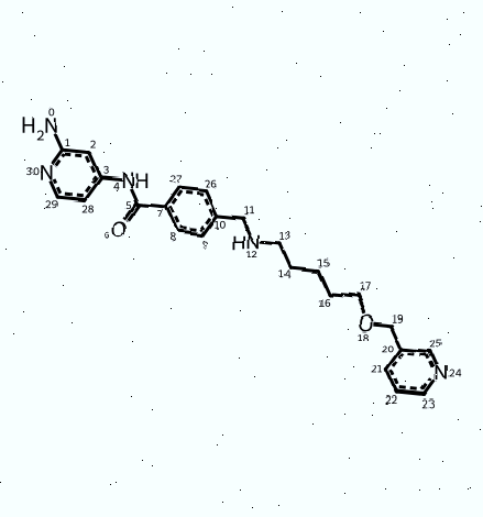 Nc1cc(NC(=O)c2ccc(CNCCCCCOCc3cccnc3)cc2)ccn1